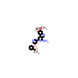 COc1cc2ncc3c(N)nc(-c4cncc(Oc5ccccc5C(C)=O)c4)cc3c2cc1OC